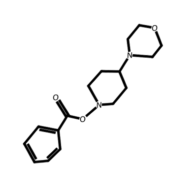 O=C(ON1CCC(N2CCOCC2)CC1)c1ccccc1